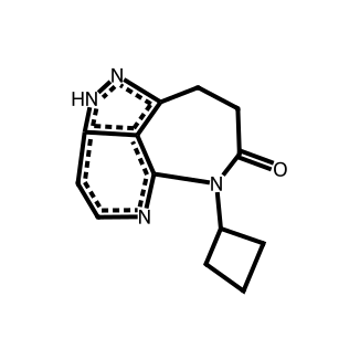 O=C1CCc2n[nH]c3ccnc(c23)N1C1CCC1